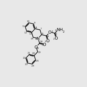 NC(=O)OC(=O)C1Cc2ccccc2CN1C(=O)OCc1ccccc1